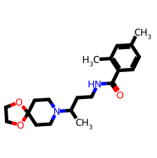 Cc1ccc(C(=O)NCCC(C)N2CCC3(CC2)OCCO3)c(C)c1